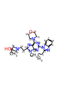 CCc1nc2ccccc2n1-c1nc(N2CCOCC2)c2nc(CCN3CC(C)(O)C3)n(C)c2n1